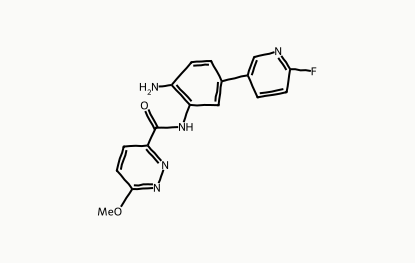 COc1ccc(C(=O)Nc2cc(-c3ccc(F)nc3)ccc2N)nn1